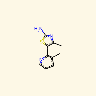 Cc1cccnc1-c1sc(N)nc1C